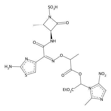 CCOC(=O)C(OC(=O)C(C)O/N=C(\C(=O)N[C@@H]1C(=O)N(S(=O)(=O)O)[C@H]1C)c1csc(N)n1)n1c([N+](=O)[O-])cnc1C